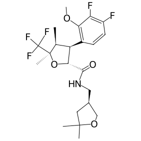 COc1c([C@H]2[C@H](C(=O)NC[C@H]3COC(C)(C)C3)O[C@@](C)(C(F)(F)F)[C@H]2C)ccc(F)c1F